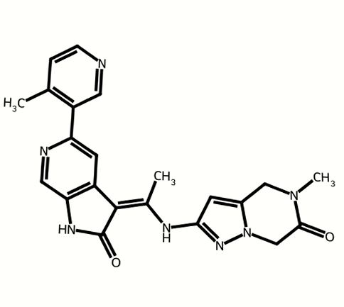 C/C(Nc1cc2n(n1)CC(=O)N(C)C2)=C1/C(=O)Nc2cnc(-c3cnccc3C)cc21